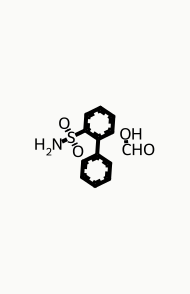 NS(=O)(=O)c1ccccc1-c1ccccc1.O=CO